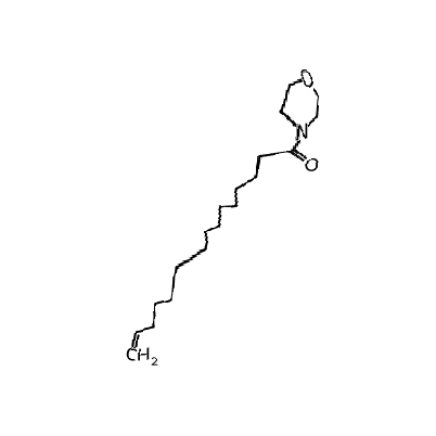 C=CCCCCCCCCCCCCC(=O)N1CCOCC1